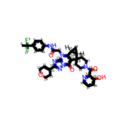 CC(F)(F)c1ccc(NC(=O)Cn2c3c(c(=O)n4nc(C5=CCOCC5)nc24)C2(CCN(C(=O)c4ncccc4O)CC2)[C@@H]2C[C@H]32)cc1